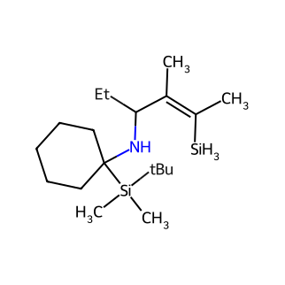 CCC(NC1([Si](C)(C)C(C)(C)C)CCCCC1)C(C)=C(C)[SiH3]